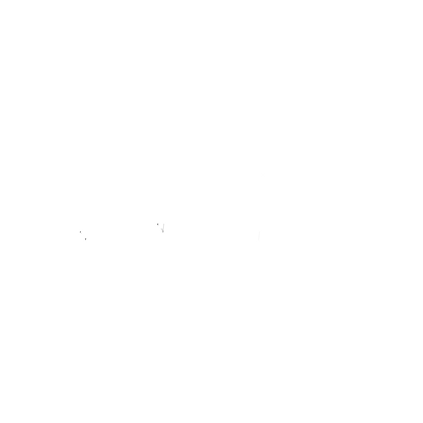 N#CCNc1ccc(Oc2ccccc2)c(F)c1